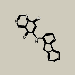 O=C1C(Nc2cccc3c2Cc2ccccc2-3)=CC(=O)c2ncncc21